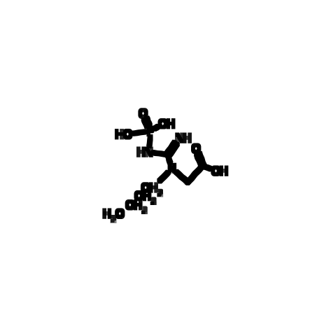 CN(CC(=O)O)C(=N)NP(=O)(O)O.O.O.O.O